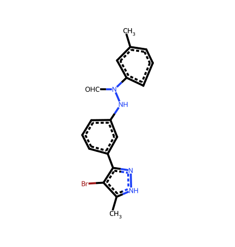 Cc1cccc(N(C=O)Nc2cccc(-c3n[nH]c(C)c3Br)c2)c1